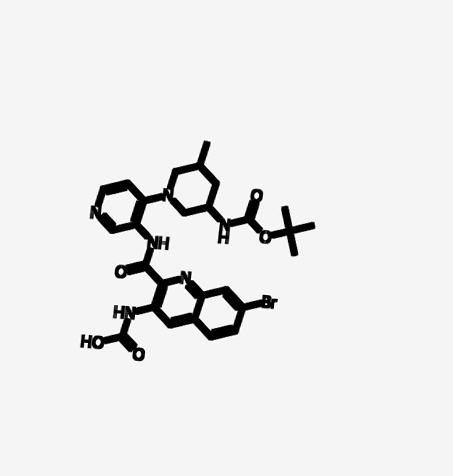 CC1CC(NC(=O)OC(C)(C)C)CN(c2ccncc2NC(=O)c2nc3cc(Br)ccc3cc2NC(=O)O)C1